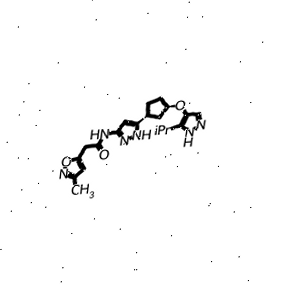 Cc1cc(CC(=O)Nc2cc([C@H]3CC[C@@H](Oc4cn[nH]c4C(C)C)C3)[nH]n2)on1